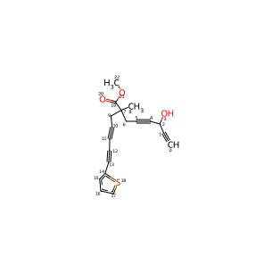 C#CC(O)C#CCC(C)(CC#CC#Cc1cccs1)C(=O)OC